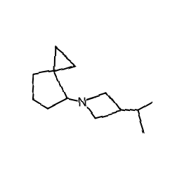 CC(C)C1CN(C2CCCC23CC3)C1